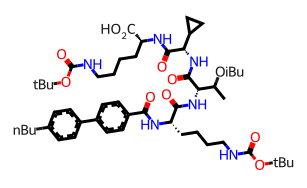 CCCCc1ccc(-c2ccc(C(=O)N[C@@H](CCCCNC(=O)OC(C)(C)C)C(=O)N[C@H](C(=O)N[C@H](C(=O)N[C@@H](CCCCNC(=O)OC(C)(C)C)C(=O)O)C3CC3)C(C)OCC(C)C)cc2)cc1